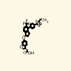 CCc1nc(-c2ccc(-c3c(C(F)(F)F)ccc4c3CC[C@H]4Oc3ccc4c(c3)OC[C@H]4CC(=O)O)cc2)no1